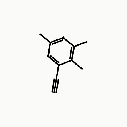 C#Cc1cc(C)[c]c(C)c1C